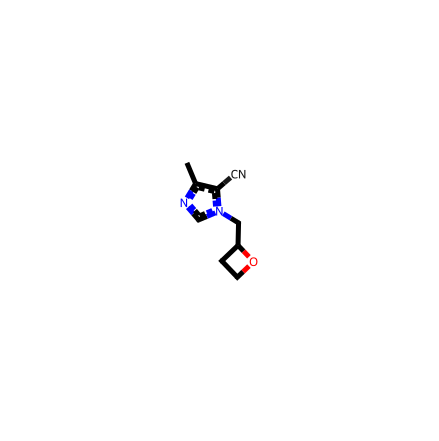 Cc1ncn(CC2CCO2)c1C#N